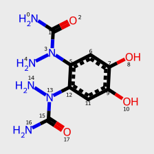 NC(=O)N(N)c1cc(O)c(O)cc1N(N)C(N)=O